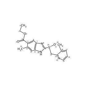 CCOC(=O)c1cc2nc([S+]([O-])Cc3ncccc3C)[nH]c2cc1C